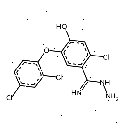 N=C(NN)c1cc(Oc2ccc(Cl)cc2Cl)c(O)cc1Cl